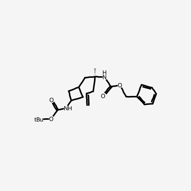 C=CC[C@@](C)(CC1CC(NC(=O)OC(C)(C)C)C1)NC(=O)OCc1ccccc1